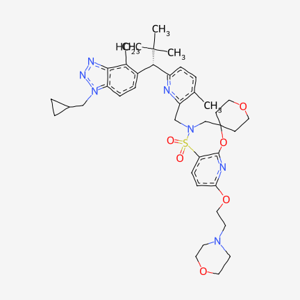 Cc1ccc([C@H](c2ccc3c(nnn3CC3CC3)c2C)C(C)(C)C(=O)O)nc1CN1CC2(CCOCC2)Oc2nc(OCCN3CCOCC3)ccc2S1(=O)=O